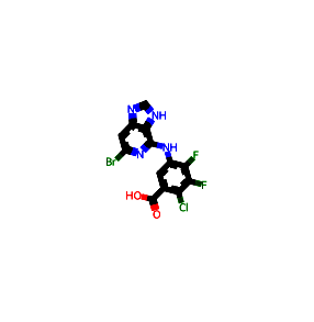 O=C(O)c1cc(Nc2nc(Br)cc3nc[nH]c23)c(F)c(F)c1Cl